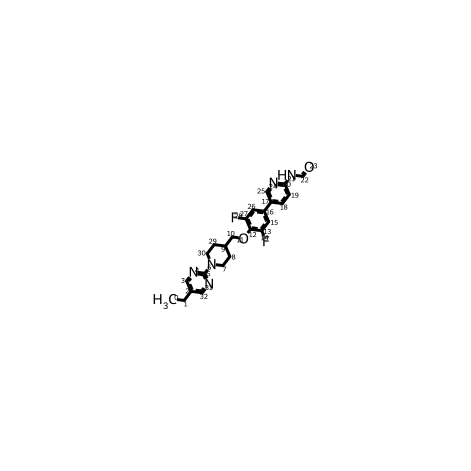 CCc1cnc(N2CCC(COc3c(F)cc(-c4ccc(NC=O)nc4)cc3F)CC2)nc1